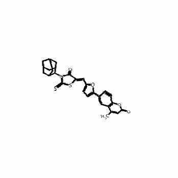 Cc1cc(=O)oc2ccc(-c3ccc(/C=C4\SC(=S)N(C5C6CC7CC(C6)CC5C7)C4=O)o3)cc12